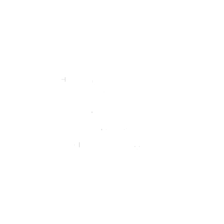 COC(=O)c1ccccc1C(=O)OCCl